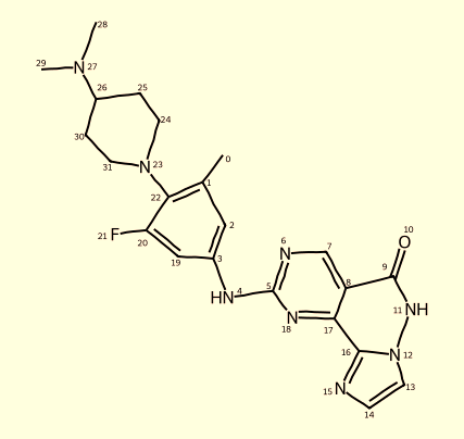 Cc1cc(Nc2ncc3c(=O)[nH]n4ccnc4c3n2)cc(F)c1N1CCC(N(C)C)CC1